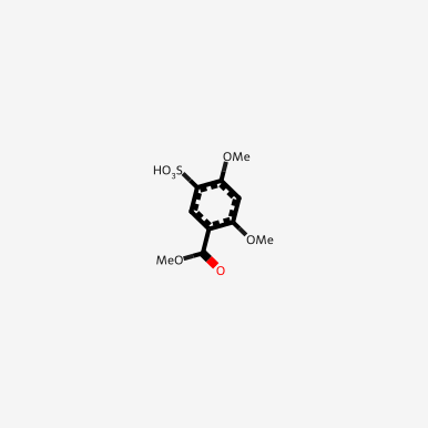 COC(=O)c1cc(S(=O)(=O)O)c(OC)cc1OC